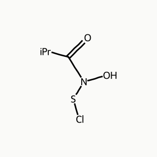 CC(C)C(=O)N(O)SCl